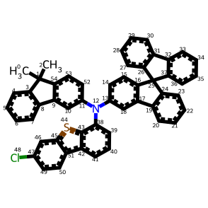 CC1(C)c2ccccc2-c2cc(N(c3ccc4c(c3)-c3ccccc3C43c4ccccc4-c4ccccc43)c3cccc4c3sc3cc(Cl)ccc34)ccc21